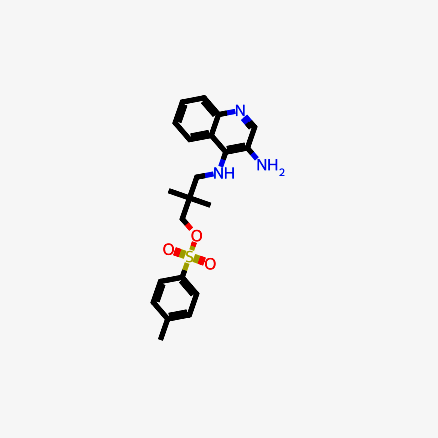 Cc1ccc(S(=O)(=O)OCC(C)(C)CNc2c(N)cnc3ccccc23)cc1